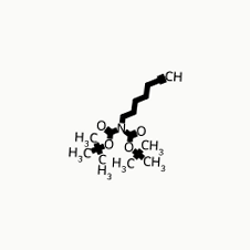 C#CCCCCCN(C(=O)OC(C)(C)C)C(=O)OC(C)(C)C